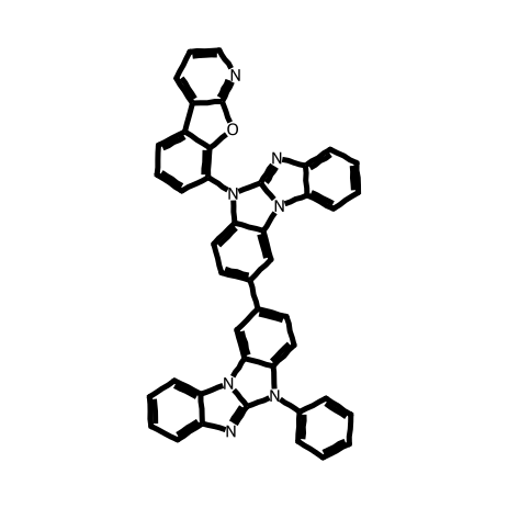 c1ccc(-n2c3ccc(-c4ccc5c(c4)n4c6ccccc6nc4n5-c4cccc5c4oc4ncccc45)cc3n3c4ccccc4nc23)cc1